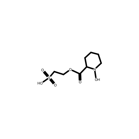 O=C(OCCS(=O)(=O)O)C1CCCCN1O